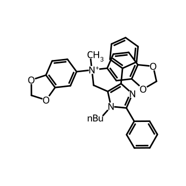 CCCCn1c(-c2ccccc2)nc(-c2ccccc2)c1C[N+](C)(c1ccc2c(c1)OCO2)c1ccc2c(c1)OCO2